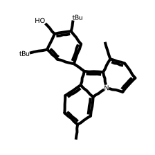 Cc1ccc2c(-c3cc(C(C)(C)C)c(O)c(C(C)(C)C)c3)c3c(C)cccn3c2c1